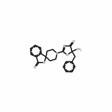 CC1(Cc2ccccc2)OC(N2CCC3(CC2)OC(=O)c2ccccc23)=NC1=O